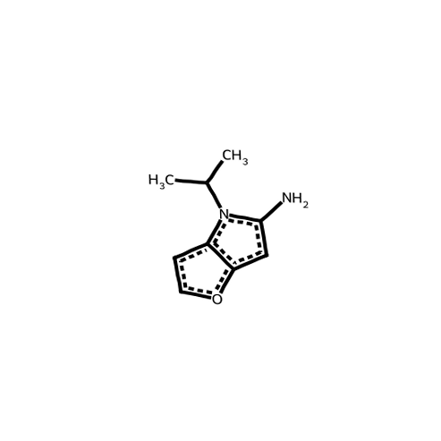 CC(C)n1c(N)cc2occc21